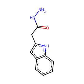 NNC(=O)Cc1cc2ccccc2[nH]1